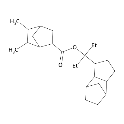 CCC(CC)(OC(=O)C1CC2CC1C(C)C2C)C1CCC2C3CCC(C3)C21